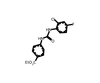 CCOC(=O)c1ccc(NC(=O)Nc2ccc(F)cc2Cl)cc1